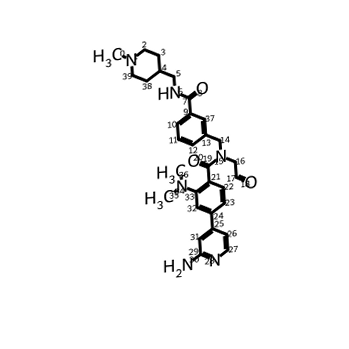 CN1CCC(CNC(=O)c2cccc(CN(CC=O)C(=O)c3ccc(-c4ccnc(N)c4)cc3N(C)C)c2)CC1